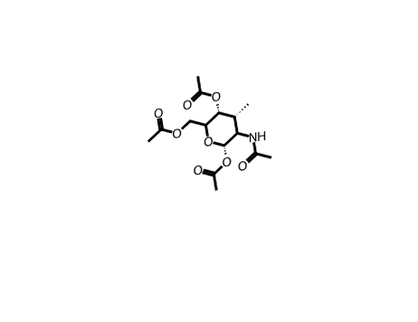 CC(=O)NC1[C@H](OC(C)=O)OC(COC(C)=O)[C@H](OC(C)=O)[C@@H]1C